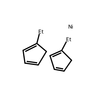 CCC1=CC=CC1.CCC1=CC=CC1.[Ni]